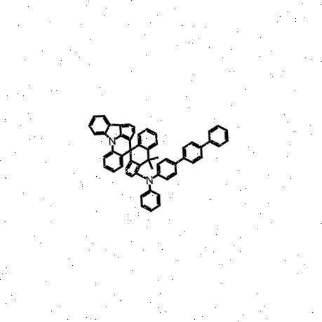 CC1(C)c2ccccc2C2(c3ccccc3-n3c4ccccc4c4cccc2c43)c2cccc(N(c3ccccc3)c3ccc(-c4ccc(-c5ccccc5)cc4)cc3)c21